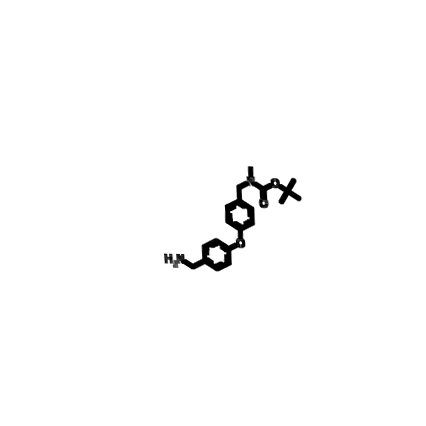 CN(Cc1ccc(Oc2ccc(CN)cc2)cc1)C(=O)OC(C)(C)C